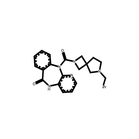 CC(C)CN1CCC2(C1)CN(C(=O)N1c3ccccc3C(=O)Nc3cccnc31)C2